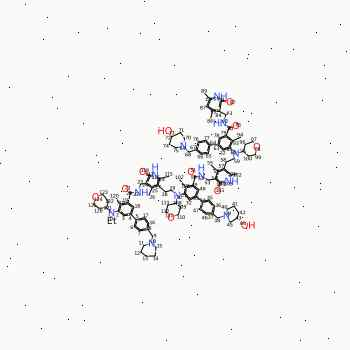 CCN(c1cc(-c2ccc(CN3CCCCC3)cc2)cc(C(=O)NCc2c(C)c(CCN(c3cc(-c4ccc(CN5CCC[C@H](O)C5)cc4)cc(C(=O)NCc4c(C)c(CCN(c5cc(-c6ccc(CN7CCC(O)CC7)cc6)cc(C(=O)NCc6c(C)cc(C)[nH]c6=O)c5C)C5CCOCC5)c(C)[nH]c4=O)c3C)C3CCOCC3)c(C)[nH]c2=O)c1C)C1CCOCC1